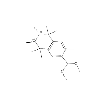 COC(OC)c1cc2c(cc1C)C(C)(C)[C@@H](C)[C@H](C)C2(C)C